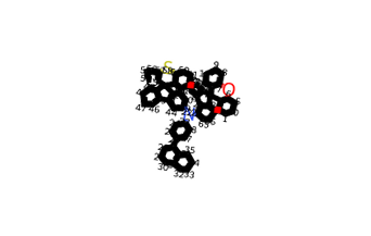 c1ccc2c(c1)Oc1ccccc1C21c2ccccc2-c2c(N(c3ccc(-c4cccc5ccccc45)cc3)c3ccc4c(c3)-c3ccccc3C43c4ccccc4Sc4ccccc43)cccc21